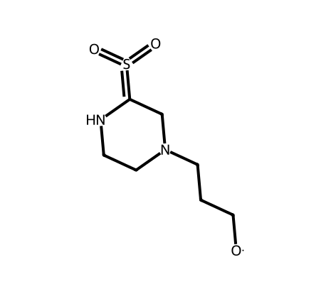 [O]CCCN1CCNC(=S(=O)=O)C1